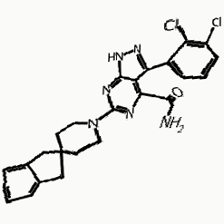 NC(=O)c1nc(N2CCC3(CC2)Cc2ccccc2C3)nc2[nH]nc(-c3cccc(Cl)c3Cl)c12